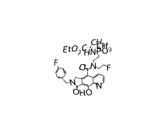 CCOC(=O)[C@H](C)NP(C)(=O)CCN(CCF)C(=O)c1c2c(c(O)c3ncccc13)C(=O)N(Cc1ccc(F)cc1)C2